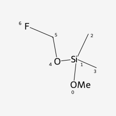 CO[Si](C)(C)OCF